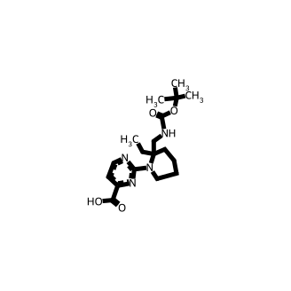 CCC1(CNC(=O)OC(C)(C)C)CCCCN1c1nccc(C(=O)O)n1